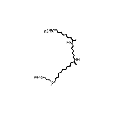 C=C(CCCCCCCCCCCCCCCCC)NCCCCCCNC(=C)CCCCCCCCCCN(C)CCCSC